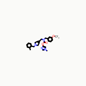 Cc1ccccc1CN1CC2C(C1)C2CN(Cc1cccc(OC(F)(F)F)c1)C(=O)Oc1cn(C)cn1